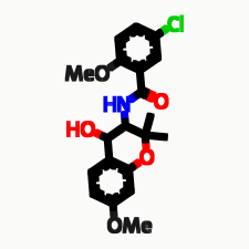 COc1ccc2c(c1)OC(C)(C)C(NC(=O)c1cc(Cl)ccc1OC)C2O